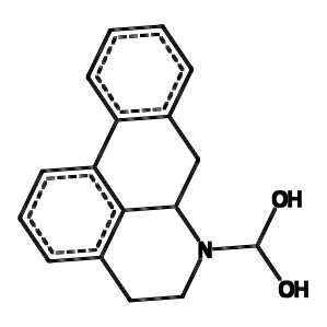 OC(O)N1CCc2cccc3c2C1Cc1ccccc1-3